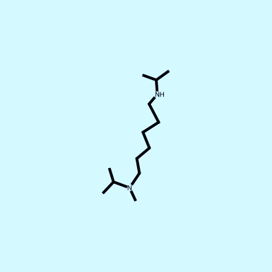 CC(C)NCCCCCCN(C)C(C)C